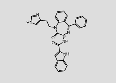 O=C(N[C@H]1N=C(c2ccccc2)c2ccccc2N(CCc2c[nH]cn2)C1=O)c1cc2ccccc2[nH]1